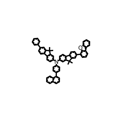 CC1(C)c2cc(-c3ccccc3)ccc2-c2ccc(N(c3ccc(-c4cccc5ccccc45)cc3)c3ccc4c(c3)C(C)(C)c3cc(-c5cccc6c5oc5ccccc56)ccc3-4)cc21